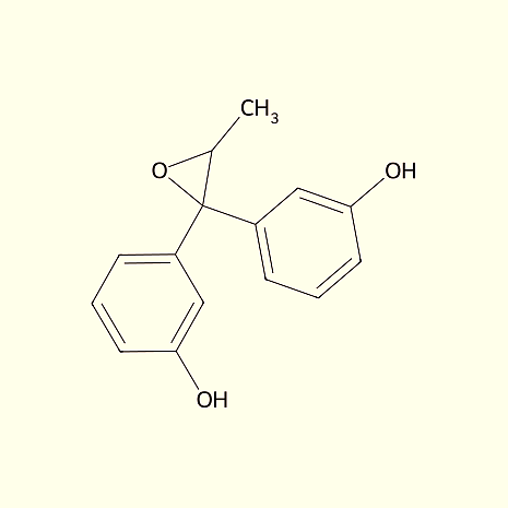 CC1OC1(c1cccc(O)c1)c1cccc(O)c1